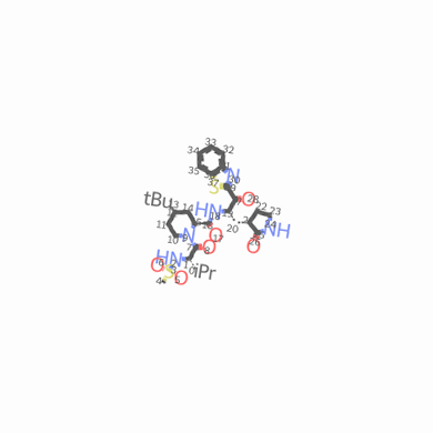 CC(C)[C@H](NS(C)(=O)=O)C(=O)N1CC[C@@H](C(C)(C)C)C[C@H]1C(=O)N[C@@H](C[C@@H]1CCNC1=O)C(=O)c1nc2ccccc2s1